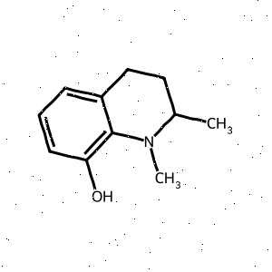 CC1CCc2cccc(O)c2N1C